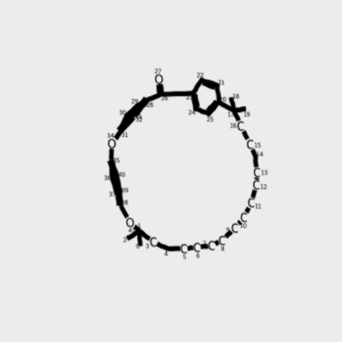 CC1(C)CCCCCCCCCCCCCCC(C)(C)c2ccc(cc2)C(=O)c2ccc(cc2)Oc2ccc(cc2)O1